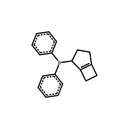 c1ccc(B(c2ccccc2)C2CCC3=C2CC3)cc1